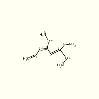 C=C/C=C(\C=C(/CN)ON)ON